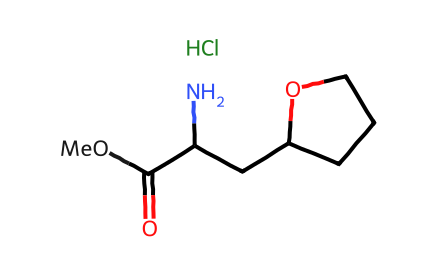 COC(=O)C(N)CC1CCCO1.Cl